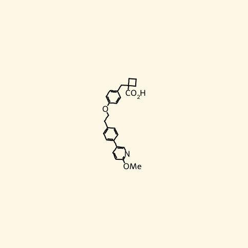 COc1ccc(-c2ccc(CCOc3ccc(CC4(C(=O)O)CCC4)cc3)cc2)cn1